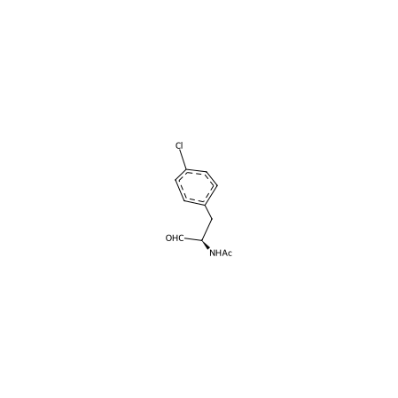 CC(=O)N[C@@H](C=O)Cc1ccc(Cl)cc1